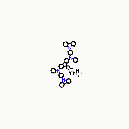 CCCCC1(CCCC)c2cc(N(c3ccccc3)c3ccc(-n4c5ccccc5c5ccccc54)cc3)ccc2-c2ccc(N(c3ccccc3)c3ccc(-n4c5ccccc5c5ccccc54)cc3)cc21